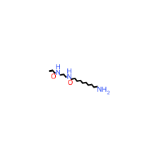 C=CC(=O)NCCCNC(=O)CCCCCCCCCN